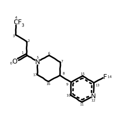 O=C(CCC(F)(F)F)N1CCC(c2ccnc(F)c2)CC1